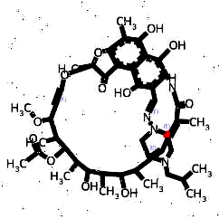 COC1/C=C/OC2(C)Oc3c(C)c(O)c4c(O)c(c(/C=N/N5CCN(CC(C)C)CC5)c(O)c4c3C2=O)NC(=O)/C(C)=C/C=C/C(C)C(O)C(C)C(O)C(C)C(OC(C)=O)C1C